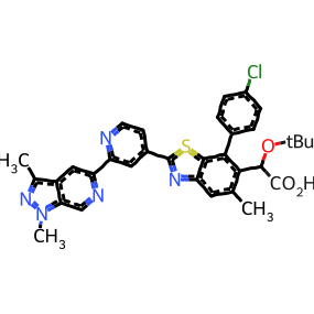 Cc1cc2nc(-c3ccnc(-c4cc5c(C)nn(C)c5cn4)c3)sc2c(-c2ccc(Cl)cc2)c1C(OC(C)(C)C)C(=O)O